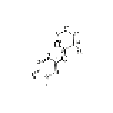 C=C/C=C\C(=C/C=C)OC1OCCCC1C